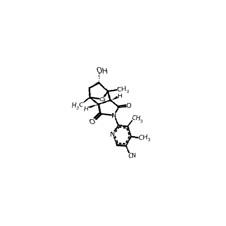 Cc1c(C#N)cnc(N2C(=O)[C@@H]3[C@H](C2=O)C2(C)C[C@H](O)C3(C)O2)c1C